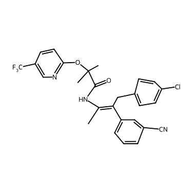 CC(NC(=O)C(C)(C)Oc1ccc(C(F)(F)F)cn1)=C(Cc1ccc(Cl)cc1)c1cccc(C#N)c1